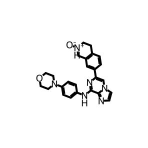 [O-][NH+]1CCc2ccc(-c3cn4ccnc4c(Nc4ccc(N5CCOCC5)cc4)n3)cc2C1